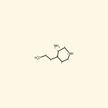 CCCC1CCNCC1.N